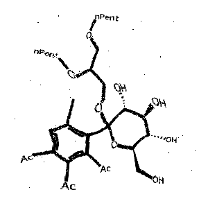 CCCCCOCC(COC1(c2c(C)cc(C(C)=O)c(C(C)=O)c2C(C)=O)O[C@H](CO)[C@@H](O)[C@H](O)[C@H]1O)OCCCCC